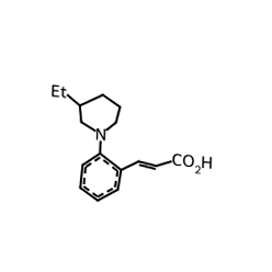 CCC1CCCN(c2ccccc2C=CC(=O)O)C1